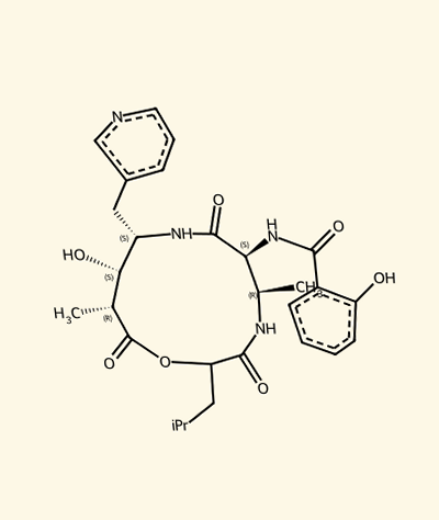 CC(C)CC1OC(=O)[C@H](C)[C@H](O)[C@H](Cc2cccnc2)NC(=O)[C@@H](NC(=O)c2ccccc2O)[C@@H](C)NC1=O